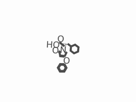 O=C(O)[C@H](CC1CCCCC1)N1CC(Oc2ccccc2)=CC1=O